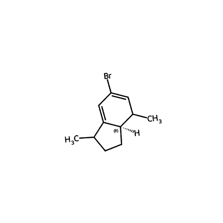 CC1CC[C@H]2C1=CC(Br)=CC2C